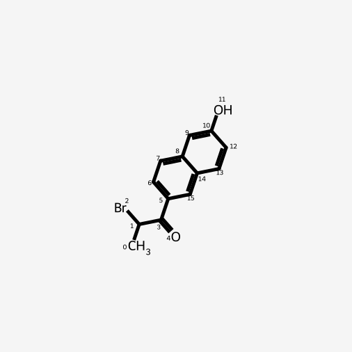 CC(Br)C(=O)c1ccc2cc(O)ccc2c1